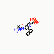 CC(C)(C)C(N)C(=O)Nc1cc(-c2cccc3ccccc23)c2nc(/C=C/P(=O)(O)O)ccc2c1